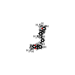 BOc1ccc(C(c2ccc(O)c(NC(=O)c3cccc(C(=O)Nc4cc(C(c5ccc(O)c(NC(C)=O)c5)(C(F)(F)F)C(F)(F)F)ccc4OB)c3)c2)(C(F)(F)F)C(F)(F)F)cc1NC(C)=O